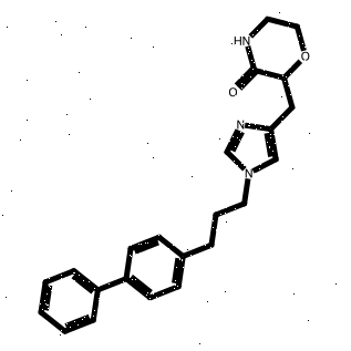 O=C1NCCOC1Cc1cn(CCCc2ccc(-c3ccccc3)cc2)cn1